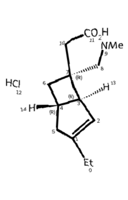 CCC1=C[C@H]2[C@H](C1)C[C@@]2(CNC)CC(=O)O.Cl